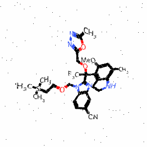 COc1cc(C)c2c(c1C(OCc1nnc(C)o1)(c1nc3cc(C#N)ccc3n1COCC[Si](C)(C)C)C(F)(F)F)CCN2